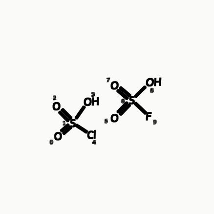 O=S(=O)(O)Cl.O=S(=O)(O)F